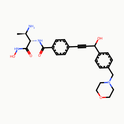 C[C@@H](N)[C@H](NC(=O)c1ccc(C#CC(O)c2ccc(CN3CCOCC3)cc2)cc1)C(=O)NO